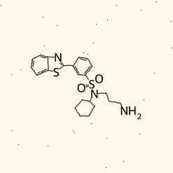 NCCCN(C1CCCCC1)S(=O)(=O)c1cccc(-c2nc3ccccc3s2)c1